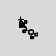 CC(C)(C)OC(=O)NCC(=O)c1ccc(Cl)c(Br)c1